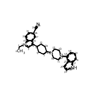 CCn1cc(C2CCC(N3CCN(c4cccc5[nH]ccc45)CC3)CC2)c2cc(C#N)ccc21